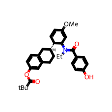 CCN(C(=O)c1ccc(O)cc1)C1C=C(OC)C=CC1[C@@H]1CCc2cc(OC(=O)C(C)(C)C)ccc2C1